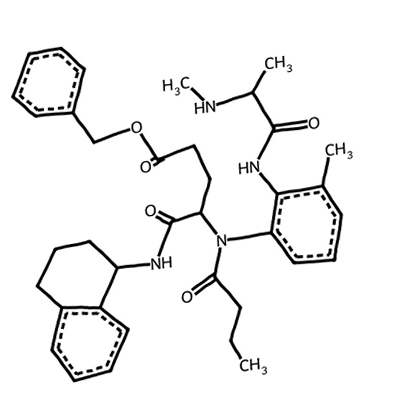 CCCC(=O)N(c1cccc(C)c1NC(=O)C(C)NC)C(CCC(=O)OCc1ccccc1)C(=O)NC1CCCc2ccccc21